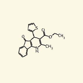 CCOC(=O)C1=C(C)NC2=C(C(=O)c3ccccc32)C1c1cccs1